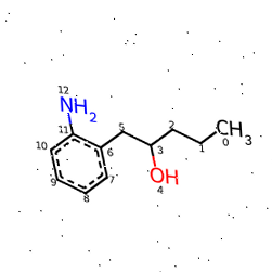 CCCC(O)Cc1ccccc1N